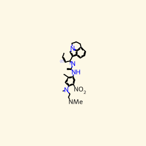 C=C(/N=C(\C=C/C)c1cn2c3c(cccc13)CCC2)Nc1cc([N+](=O)[O-])c(N(C)CCNC)cc1C